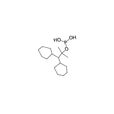 CC(C)(OP(O)O)C(C1CCCCC1)C1CCCCC1